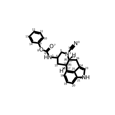 N#CN1CC(NC(=O)Oc2ccccc2)C[C@@H]2c3cccc4[nH]cc(c34)C[C@H]21